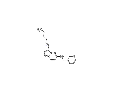 CCCC/C=C/c1cnc2ccc(NCc3cccnc3)nn12